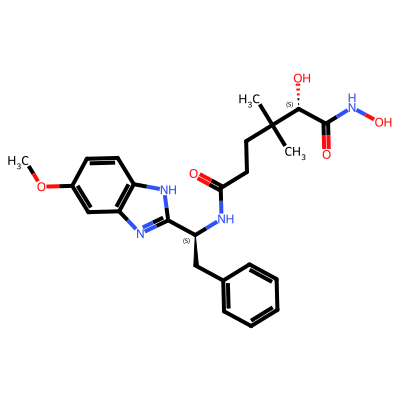 COc1ccc2[nH]c([C@H](Cc3ccccc3)NC(=O)CCC(C)(C)[C@H](O)C(=O)NO)nc2c1